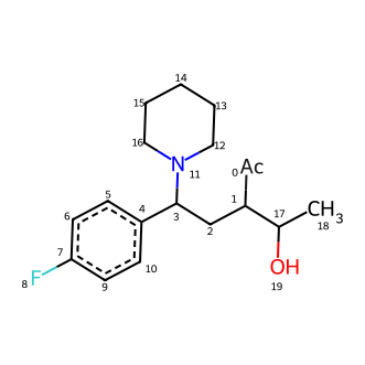 CC(=O)C(CC(c1ccc(F)cc1)N1CCCCC1)C(C)O